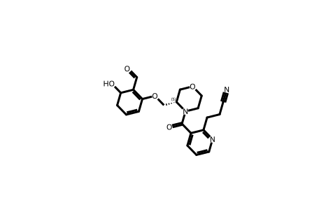 N#CCCc1ncccc1C(=O)N1CCOC[C@H]1COC1=C(C=O)C(O)CC=C1